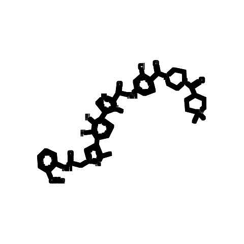 COc1ccccc1NC(=O)Cn1cc(-c2ccc(-c3cnc(C(=O)Nc4ccc(C(=O)N5CCN(C(=O)C6CC[N+](C)(C)CC6)CC5)c(Cl)c4)n3C)c(F)c2F)c(C)n1